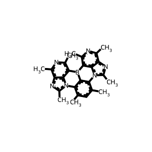 Cc1cc(C)c2c3c1-n1c(C)nc4c(C)nc(C)c(c41)B3c1c(C)nc(C)c3nc(C)n-2c13